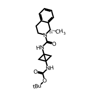 C[C@H]1c2ccccc2CCN1C(=O)NC12CC1(NC(=O)OC(C)(C)C)C2